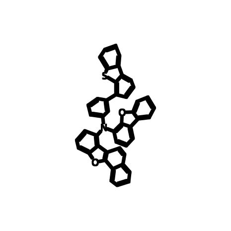 c1cc(-c2cccc3c2sc2ccccc23)cc(N(c2cccc3c2oc2ccccc23)c2cccc3oc4c5ccccc5ccc4c23)c1